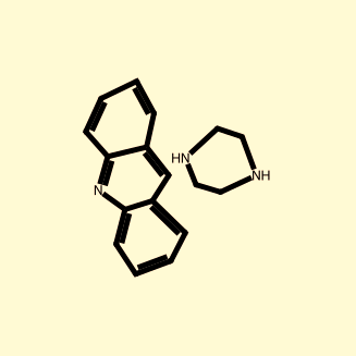 C1CNCCN1.c1ccc2nc3ccccc3cc2c1